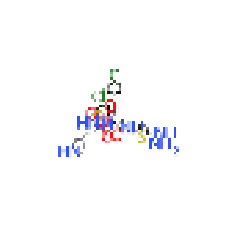 CS(=O)(=O)N[C@H](CCC1CCNCC1)C(=O)N1C[C@H](OCc2ccc(Cl)cc2Cl)C[C@H]1C(=O)NCc1ccc(C(=N)N)s1